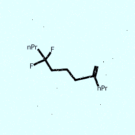 C=C(CCC)CCCC(F)(F)CCC